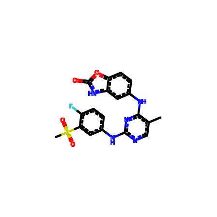 Cc1cnc(Nc2ccc(F)c(S(C)(=O)=O)c2)nc1Nc1ccc2oc(=O)[nH]c2c1